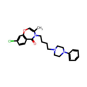 CC1=COc2cc(Cl)ccc2C(=O)N1CCCCN1CCN(c2ccccc2)CC1